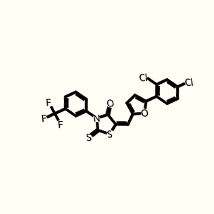 O=C1/C(=C\c2ccc(-c3ccc(Cl)cc3Cl)o2)SC(=S)N1c1cccc(C(F)(F)F)c1